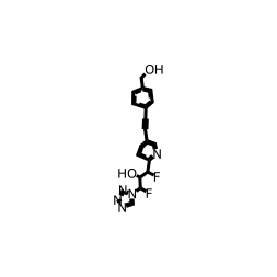 OCc1ccc(C#Cc2ccc(C(F)C(O)C(F)n3cnnn3)nc2)cc1